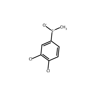 C[S+]([O-])c1ccc(Cl)c(Cl)c1